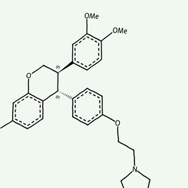 COc1ccc([C@@H]2COc3cc(O)ccc3[C@H]2c2ccc(OCCN3CCCC3)cc2)cc1OC